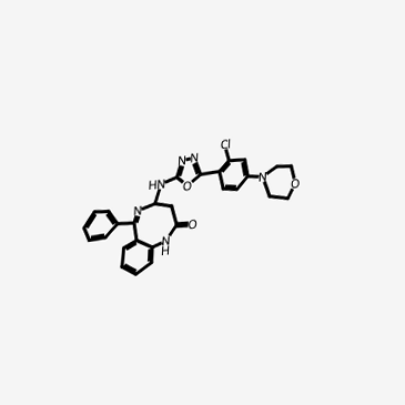 O=C1CC(Nc2nnc(-c3ccc(N4CCOCC4)cc3Cl)o2)/N=C(/c2ccccc2)c2ccccc2N1